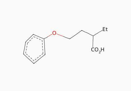 CCC(CCOc1ccccc1)C(=O)O